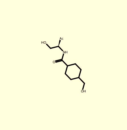 CC(=O)[C@H](CO)NC(=O)C1CCC(CO)CC1